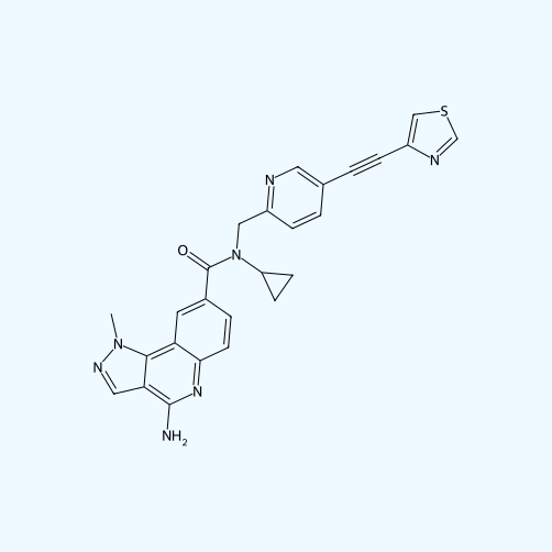 Cn1ncc2c(N)nc3ccc(C(=O)N(Cc4ccc(C#Cc5cscn5)cn4)C4CC4)cc3c21